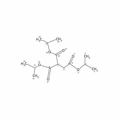 CC(C)OC(=O)CC(C(=O)OC(C)C)C(=O)OC(C)C